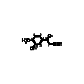 Cc1ccc(C(=O)C=[N+]=[N-])cc1Cl